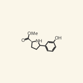 COC(=O)[C@@H]1CCC(c2cccc(O)c2)N1